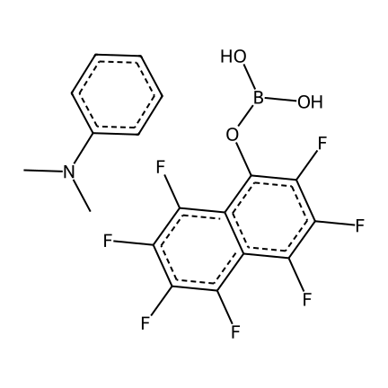 CN(C)c1ccccc1.OB(O)Oc1c(F)c(F)c(F)c2c(F)c(F)c(F)c(F)c12